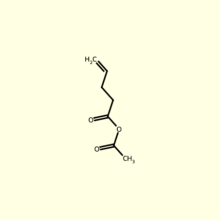 C=CCCC(=O)OC(C)=O